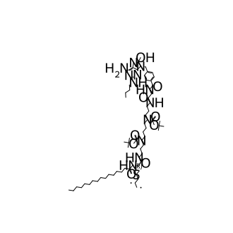 [CH2][CH]CSC[C@H](NC(=O)CCCCCCCCCCCCCCC)C(=O)NCCCN(CCCCN(CCCNC(=O)CNC(=O)c1ccc(Cn2c(O)nc3c(N)nc(NCCCC)nc32)cc1)C(=O)OC(C)(C)C)C(=O)OC(C)(C)C